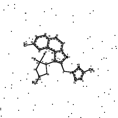 Cc1nnn(Cc2nc3cnc4ccc(Cl)cc4c3n2C2CN(C)CC2(F)F)n1